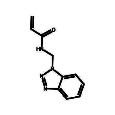 C=CC(=O)NCn1nnc2ccccc21